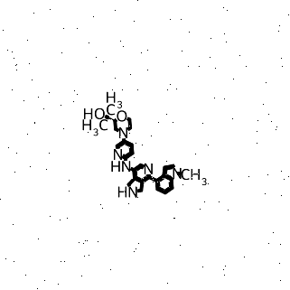 Cn1ccc2c(-c3ncc(Nc4ccc(N5CCO[C@H](C(C)(C)O)C5)cn4)c4c3CNC4)cccc21